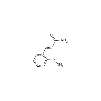 NCc1ccccc1/C=C/C(N)=O